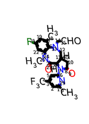 Cc1cc(C(F)(F)F)cc(N2C(=O)C[C@@H]3CN(CC=O)c4c(C)cc(F)cc4N(C)C(=O)[C@H]32)n1